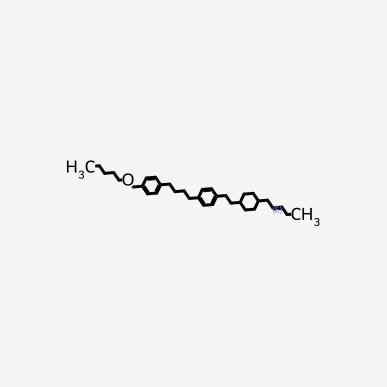 CC/C=C/CC1CCC(CCc2ccc(CCCCc3ccc(COCCCCC)cc3)cc2)CC1